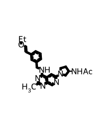 CCO/C=C/c1cccc(CNc2nc(C)nc3cnc(N4CC[C@@H](NC(C)=O)C4)cc23)c1